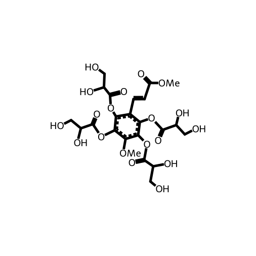 COC(=O)C=Cc1c(OC(=O)C(O)CO)c(OC(=O)C(O)CO)c(OC)c(OC(=O)C(O)CO)c1OC(=O)C(O)CO